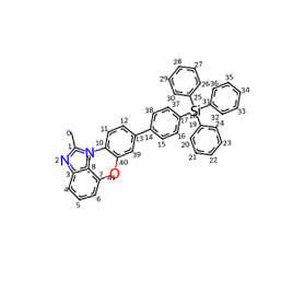 Cc1nc2cccc3c2n1-c1ccc(-c2ccc([Si](c4ccccc4)(c4ccccc4)c4ccccc4)cc2)cc1O3